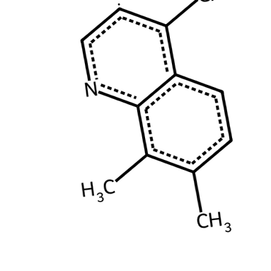 Cc1ccc2c(Cl)[c]cnc2c1C